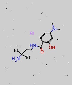 CCC(N)(CC)CCNC(=O)c1ccc(N(C)C)cc1O.I